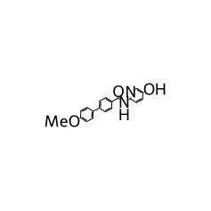 COc1ccc(-c2ccc(C(=O)Nc3ccc(O)cn3)cc2)cc1